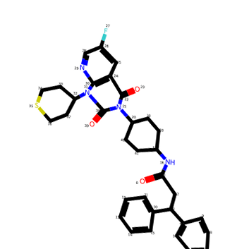 O=C(CC(c1ccccc1)c1ccccc1)NC1CCC(n2c(=O)c3cc(F)cnc3n(C3CCSCC3)c2=O)CC1